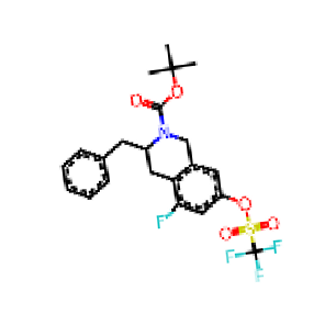 CC(C)(C)OC(=O)N1Cc2cc(OS(=O)(=O)C(F)(F)F)cc(F)c2CC1Cc1ccccc1